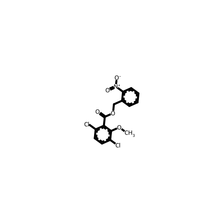 COc1c(Cl)ccc(Cl)c1C(=O)OCc1ccccc1[N+](=O)[O-]